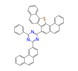 c1ccc(-c2nc(-c3ccc4ccc5ccccc5c4c3)nc(-c3cc4ccc5ccccc5c4c4sc5c6ccccc6ccc5c34)n2)cc1